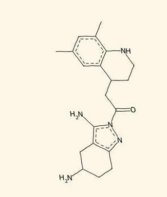 Cc1cc(C)c2c(c1)C(CC(=O)n1nc3c(c1N)CC(N)CC3)CCN2